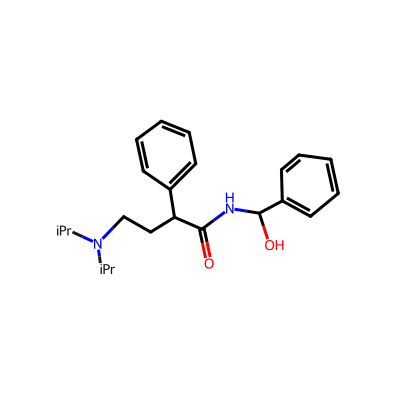 CC(C)N(CCC(C(=O)NC(O)c1ccccc1)c1ccccc1)C(C)C